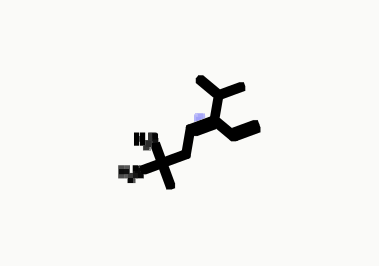 BC(C)(N)C/C=C(\C=C)C(C)C